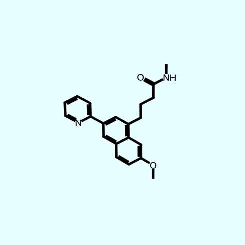 CNC(=O)CCCc1cc(-c2ccccn2)cc2ccc(OC)cc12